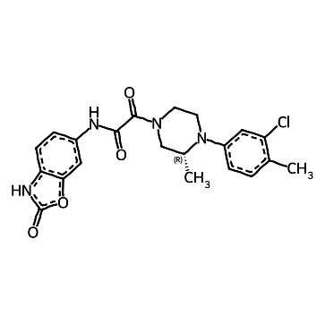 Cc1ccc(N2CCN(C(=O)C(=O)Nc3ccc4[nH]c(=O)oc4c3)C[C@H]2C)cc1Cl